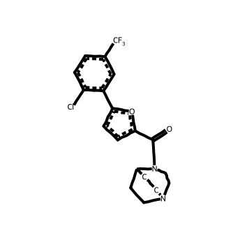 O=C(c1ccc(-c2cc(C(F)(F)F)ccc2Cl)o1)N1CCN2CCC1CC2